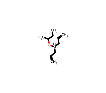 C=CC[SiH](CC=C)OC(C)CC